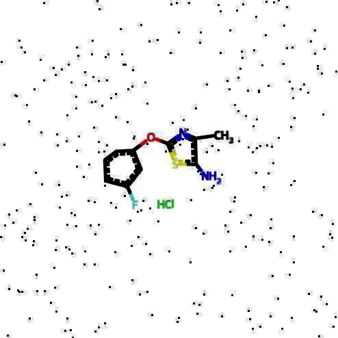 Cc1nc(Oc2cccc(F)c2)sc1N.Cl